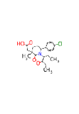 CCC(=O)C(CC)N1C(=O)C(C)(CC(=O)O)CCC1c1ccc(Cl)cc1